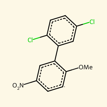 COc1[c]cc([N+](=O)[O-])cc1-c1cc(Cl)ccc1Cl